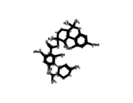 CCCCCc1cc(O)c2c(c1)OC(C)(C)C1=C2C(O)C(C)(OC(=O)c2c(CCCCC)cc(O)c([C@@H]3C=C(C)CC[C@H]3C(C)O)c2O)CC1